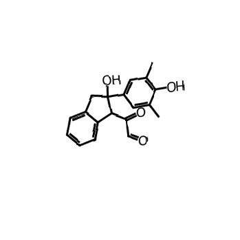 Cc1cc(C2(O)Cc3ccccc3C2C(=O)C=O)cc(C)c1O